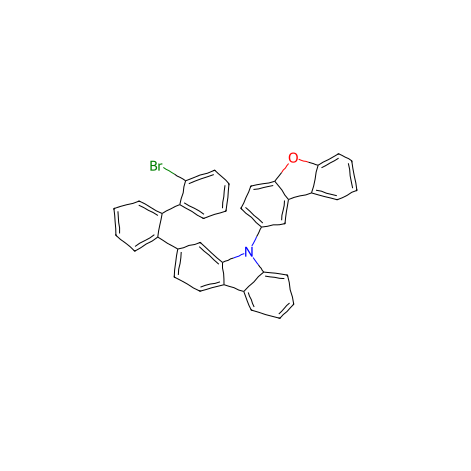 Brc1ccccc1-c1ccccc1-c1ccc2c3ccccc3n(-c3ccc4oc5ccccc5c4c3)c2c1